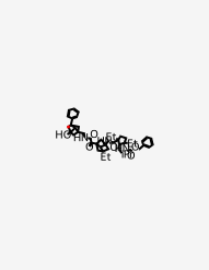 CCC12CC3(NC(=O)C4(CC)CCC(CC)(NC(=O)OCc5ccccc5)C4CC(C)C)CC(C(=O)C(=O)NCC45CC6(O)CC(c7ccccc7)(C4)C65)(C1)C23